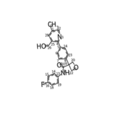 Cc1cnc(-c2ccc(C3(C(=O)Nc4ccc(F)cc4)COC3)cc2)c(CO)c1